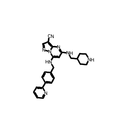 N#Cc1cnn2c(NCc3ccc(-c4ccccn4)cc3)cc(NCC3CCNCC3)nc12